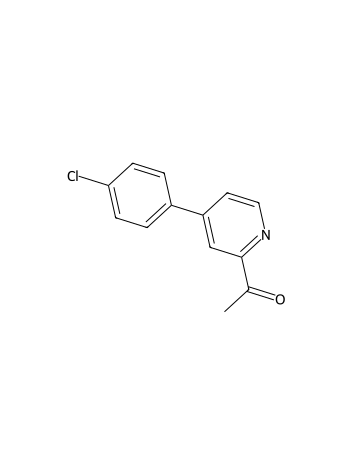 CC(=O)c1cc(-c2ccc(Cl)cc2)ccn1